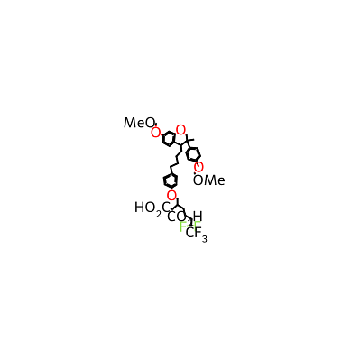 COCOc1ccc(C2(C)COc3cc(OCOC)ccc3C2CCCCc2ccc(OCC(CCCC(F)(F)C(F)(F)F)C(C(=O)O)C(=O)O)cc2)cc1